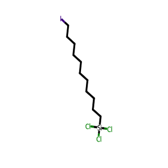 Cl[Si](Cl)(Cl)CCCCCCCCCCCI